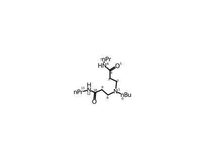 CCCCN(CCC(=O)NCCC)CCC(=O)NCCC